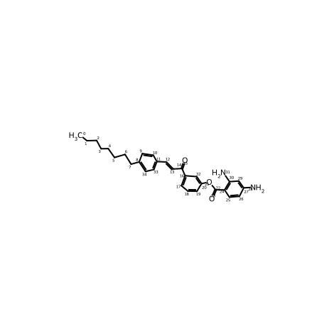 CCCCCCCCc1ccc(C=CC(=O)c2cccc(OC(=O)c3ccc(N)cc3N)c2)cc1